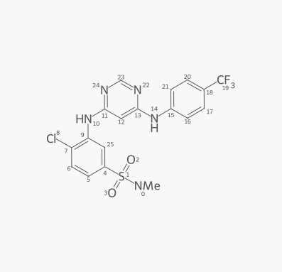 CNS(=O)(=O)c1ccc(Cl)c(Nc2cc(Nc3ccc(C(F)(F)F)cc3)ncn2)c1